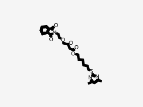 Cc1cc(C)nc(SCCCCCCOC(=O)CC(=O)COCCN2C(=O)c3ccccc3C2=O)n1